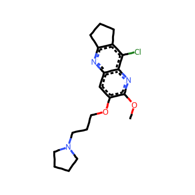 COc1nc2c(Cl)c3c(nc2cc1OCCCN1CCCC1)CCC3